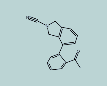 CC(=O)c1ccccc1-c1cccc2c1CN(C#N)C2